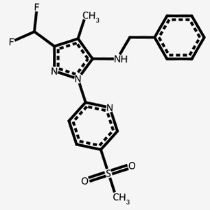 Cc1c(C(F)F)nn(-c2ccc(S(C)(=O)=O)cn2)c1NCc1ccccc1